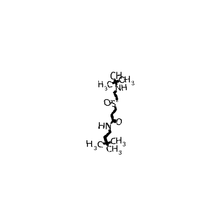 CC(C)(C)CCNC(=O)CC[S+]([O-])CCNC(C)(C)C